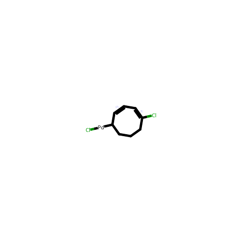 [Cl][Pd][CH]1/C=C\C=C(\Cl)CCC1